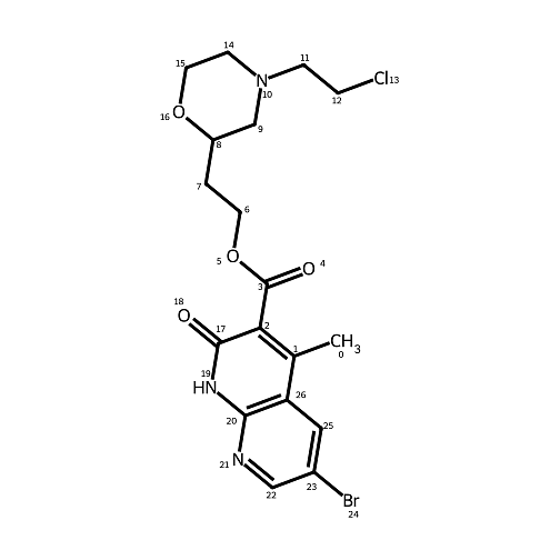 Cc1c(C(=O)OCCC2CN(CCCl)CCO2)c(=O)[nH]c2ncc(Br)cc12